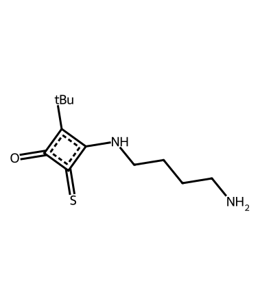 CC(C)(C)c1c(NCCCCN)c(=S)c1=O